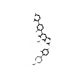 CCN1CCC(c2ccc(Nc3ncc4cc(-c5ccc(-c6ccc(C)nc6F)cc5Cl)c(=O)n(CC)c4n3)cc2C)CC1